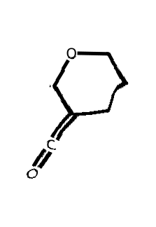 O=C=C1[CH]OCCC1